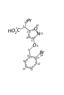 CC(C)C(C(=O)O)c1cc(OCc2ccccc2Br)no1